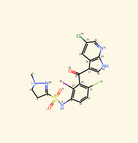 CN1CCC(S(=O)(=O)Nc2ccc(F)c(C(=O)c3c[nH]c4ncc(Cl)cc34)c2I)=N1